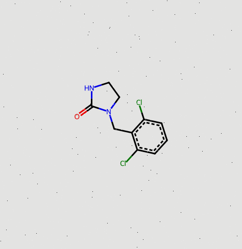 O=C1NCCN1Cc1c(Cl)cccc1Cl